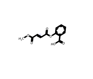 COC(=O)/C=C/C(=O)Oc1ccccc1C(=O)O